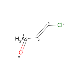 O=[AsH2]C=CCl